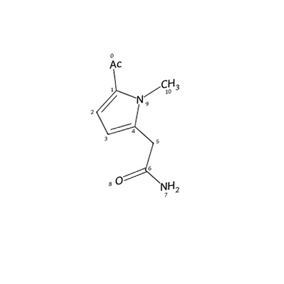 CC(=O)c1ccc(CC(N)=O)n1C